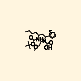 CCCC[C@@H](CC(c1cccs1)N(CCOC)C(=O)O)NC(=O)OC(C)(C)C